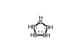 B1BBBB1